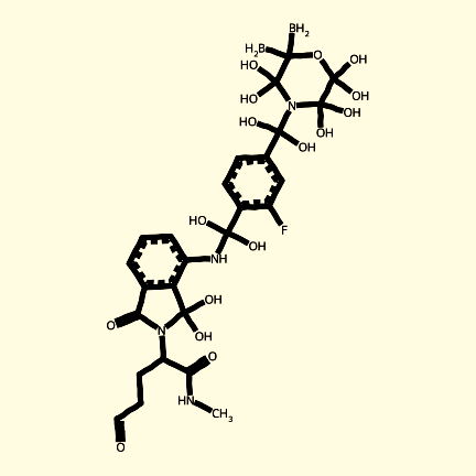 BC1(B)OC(O)(O)C(O)(O)N(C(O)(O)c2ccc(C(O)(O)Nc3cccc4c3C(O)(O)N(C(CCC=O)C(=O)NC)C4=O)c(F)c2)C1(O)O